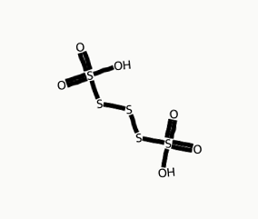 O=S(=O)(O)SSSS(=O)(=O)O